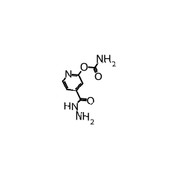 NNC(=O)c1ccnc(OC(N)=O)c1